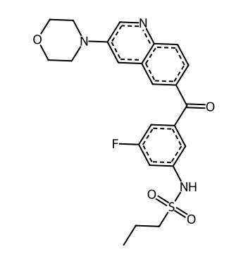 CCCS(=O)(=O)Nc1cc(F)cc(C(=O)c2ccc3ncc(N4CCOCC4)cc3c2)c1